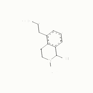 CC1c2cccc(CCC=O)c2CCN1C(=O)O